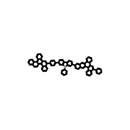 c1ccc(-c2cc3c4ccccc4c4cc5cc(-c6ccc7c8ccc(-c9ccc(-c%10cc%11c%12ccccc%12c%12c%13ccccc%13ccc%12c%11c%11ccccc%10%11)cc9)cc8n(-c8ccccc8)c7c6)ccc5cc4c3c3ccccc23)cc1